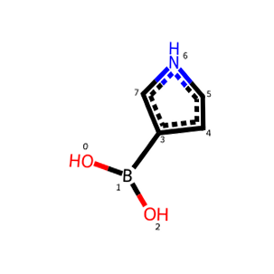 OB(O)c1cc[nH]c1